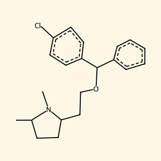 CC1CCC(CCOC(c2ccccc2)c2ccc(Cl)cc2)N1C